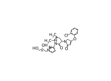 CC[C@@H](C)CC(C(=O)Nc1ccn(C[C@@H](O)CO)n1)N1CC(Oc2ccccc2Cl)=CC1=O